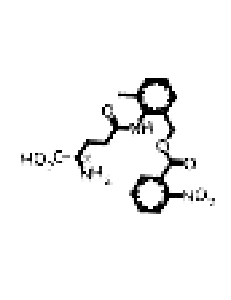 Cc1cccc(COC(=O)c2ccccc2[N+](=O)[O-])c1NC(=O)CC[C@H](N)C(=O)O